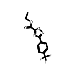 CCOC(=O)c1nc(-c2ccc(C(F)(F)F)cc2)no1